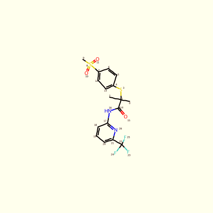 CC(C)(Sc1ccc(S(C)(=O)=O)cc1)C(=O)Nc1cccc(C(F)(F)F)n1